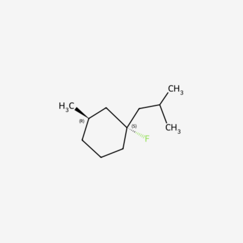 CC(C)C[C@@]1(F)CCC[C@@H](C)C1